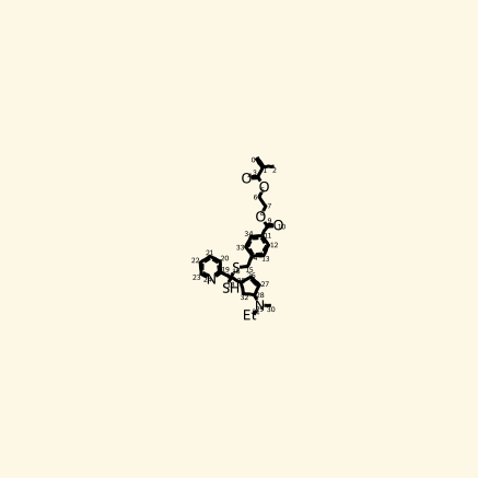 C=C(C)C(=O)OCCOC(=O)c1ccc(CSC(S)(c2ccccn2)C2C=CC(N(C)CC)C2)cc1